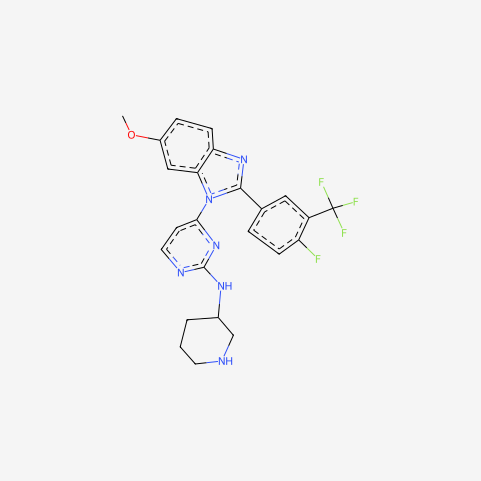 COc1ccc2nc(-c3ccc(F)c(C(F)(F)F)c3)n(-c3ccnc(NC4CCCNC4)n3)c2c1